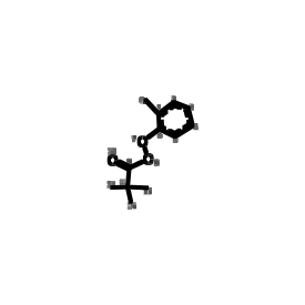 [CH2]c1ccccc1OOC(=O)C(C)(C)C